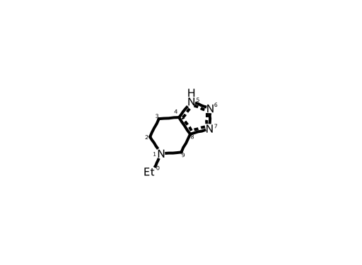 CCN1CCc2[nH]nnc2C1